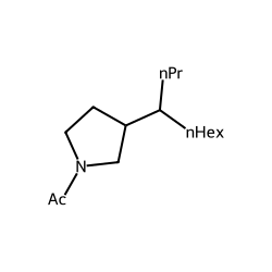 CCCCCCC(CCC)C1CCN(C(C)=O)C1